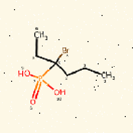 CCCC(Br)(CC)P(=O)(O)O